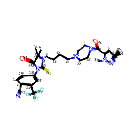 Cc1cc(C(=O)N2CCN(CCCCN3C(=S)N(c4ccc(C#N)c(C(F)(F)F)c4)C(=O)C3(C)C)CC2)n(C)n1